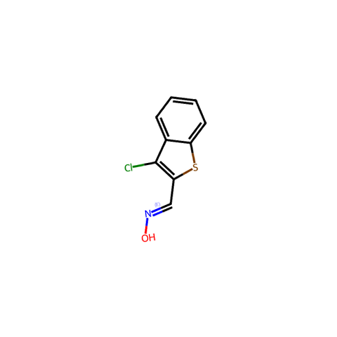 O/N=C/c1sc2ccccc2c1Cl